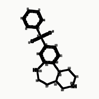 O=S(=O)(c1ccccc1)c1ccc2c(c1)NCCC1CNCCN21